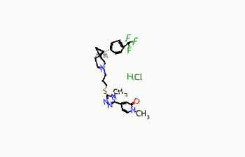 Cl.Cn1c(SCCCN2CC[C@]3(C[C@@H]3c3ccc(C(F)(F)F)cc3)C2)nnc1-c1ccn(C)c(=O)c1